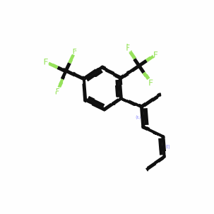 C/C=C\C=C(/C)c1ccc(C(F)(F)F)cc1C(F)(F)F